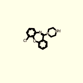 Clc1cccc2c1Oc1ccccc1C(N1CCNCC1)=N2